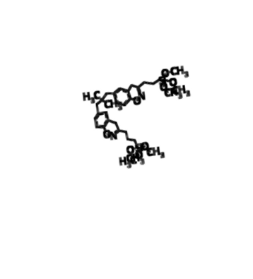 CO[Si](CCCC1=NOc2ccc(CC(C)(C)Cc3ccc4c(c3)CC(CCC[Si](OC)(OC)OC)=NO4)cc2C1)(OC)OC